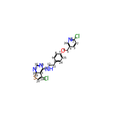 Clc1ccc(COc2ccc(CCNc3ncnc4scc(Cl)c34)cc2)cn1